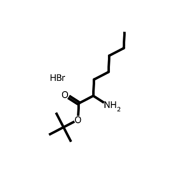 Br.CCCCCC(N)C(=O)OC(C)(C)C